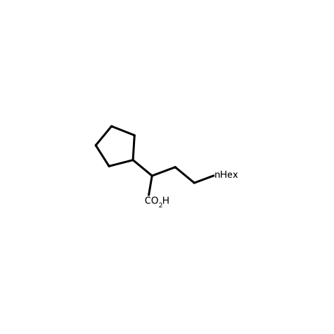 CCCCCCCCC(C(=O)O)C1CCCC1